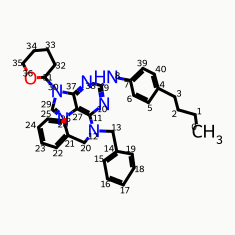 CCCCc1ccc(Nc2nc(N(Cc3ccccc3)Cc3ccccc3)c3ncn(C4CCCCO4)c3n2)cc1